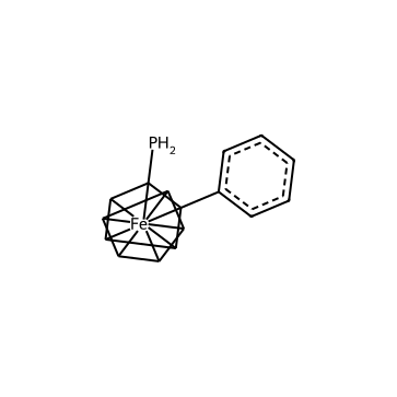 P[C]12[CH]3[CH]4[CH]5[C]1(c1ccccc1)[Fe]43521678[CH]2[CH]1[CH]6[CH]7[CH]28